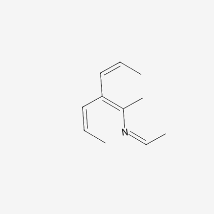 C/C=C\C(/C=C\C)=C(C)/N=C\C